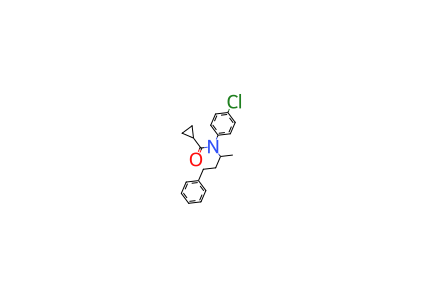 CC(CCc1ccccc1)N(C(=O)C1CC1)c1ccc(Cl)cc1